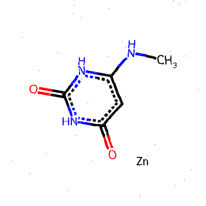 CNc1cc(=O)[nH]c(=O)[nH]1.[Zn]